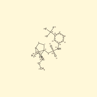 CON=C1CC2CCC1(CS(=O)(=O)Nc1cccc(C(F)(F)F)c1)C2(C)C